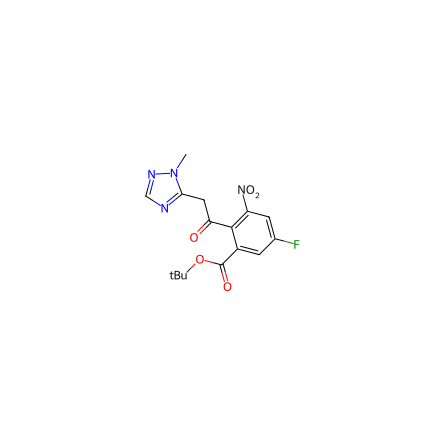 Cn1ncnc1CC(=O)c1c(C(=O)OC(C)(C)C)cc(F)cc1[N+](=O)[O-]